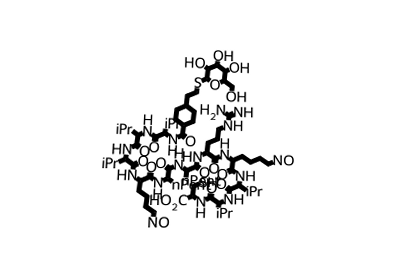 CCCCCC(NC(=O)C(CCCCC)NC(=O)C(CCCCN=O)NC(=O)C(NC(=O)C(NC(=O)C(NC(=O)C1CCC(CCSC2OC(CO)C(O)C(O)C2O)CC1)C(C)C)C(C)C)C(C)C)C(=O)NC(CCCNC(=N)N)C(=O)NC(CCCCN=O)C(=O)NC(C(=O)NC(C(=O)NC(CS)C(=O)O)C(C)C)C(C)C